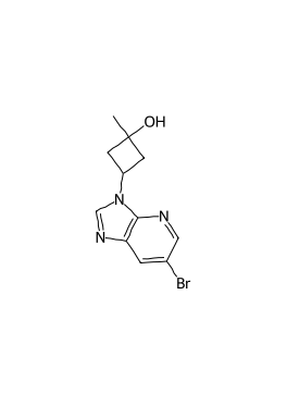 CC1(O)CC(n2cnc3cc(Br)cnc32)C1